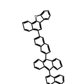 c1ccc2c(-c3c4ccccc4c(-c4ccc5cc(-c6cc7c8ccccc8oc7c7ccccc67)ccc5c4)c4ccccc34)cccc2c1